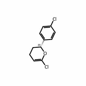 ClC1=CCC[C@H](c2ccc(Cl)cc2)O1